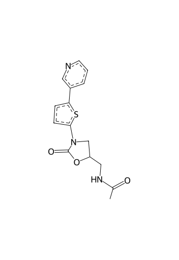 CC(=O)NCC1CN(c2ccc(-c3cccnc3)s2)C(=O)O1